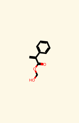 C=C(C(=O)OCO)c1ccccc1